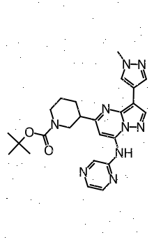 Cn1cc(-c2cnn3c(Nc4cnccn4)cc(C4CCCN(C(=O)OC(C)(C)C)C4)nc23)cn1